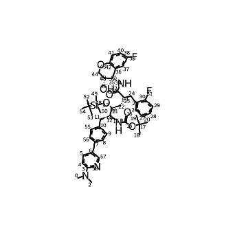 CN(C)c1ccc(-c2ccc(C[C@H](NC(=O)OC(C)(C)C)[C@H](C[C@@H](Cc3ccccc3F)C(=O)N[C@H]3c4cc(F)ccc4OC[C@H]3O)O[Si](C)(C)C(C)(C)C)cc2)cn1